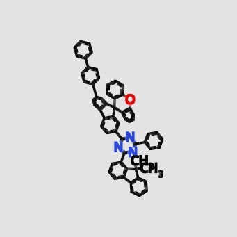 CC1(C)c2ccccc2-c2cccc(-c3nc(-c4ccccc4)nc(-c4ccc5c(c4)C4(c6ccccc6Oc6ccccc64)c4cc(-c6ccc(-c7ccccc7)cc6)ccc4-5)n3)c21